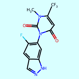 Cn1c(C(F)(F)F)cc(=O)n(-c2cc3[nH]ncc3cc2F)c1=O